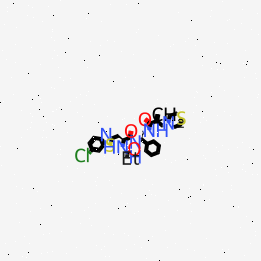 C=C(CN1CCSCC1)C(=O)NC[C@@H](NC(=O)[C@H](Cc1nc2ccc(Cl)cc2s1)NC(=O)CC)C1CCCCC1